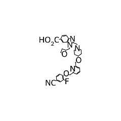 N#Cc1ccc(OCc2cccc(COC3CCN(Cc4nc5ccc(C(=O)O)cc5n4CC4CCO4)CC3)n2)c(F)c1